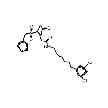 O=C(CN1C(=O)CC1S(=O)(=O)Cc1ccccc1)NCCCCCCc1cc(Cl)cc(Cl)c1